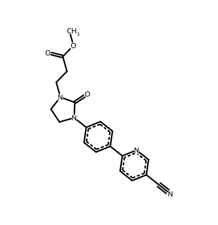 COC(=O)CCN1CCN(c2ccc(-c3ccc(C#N)cn3)cc2)C1=O